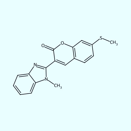 CSc1ccc2cc(-c3nc4ccccc4n3C)c(=O)oc2c1